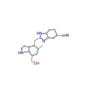 Cc1cc(CO)c2[nH]ccc2c1Cc1nc2cc(C#N)ccc2[nH]1